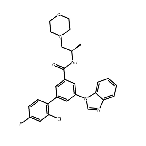 C[C@H](CN1CCOCC1)NC(=O)c1cc(-c2ccc(F)cc2Cl)cc(-n2cnc3ccccc32)c1